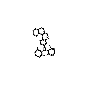 Cc1cccc(C)c1B(c1ccc2c(c1)ncc1ccc3ccccc3c12)c1c(C)cccc1C